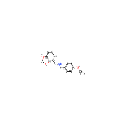 COc1ccc(CNCc2cccc3c2OCO3)cc1